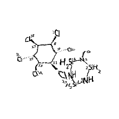 CN1[SiH2]N[SiH2]N[SiH2]1.Cl[C@H]1[C@H](Cl)[C@@H](Cl)[C@@H](Cl)[C@H](Cl)[C@H]1Cl